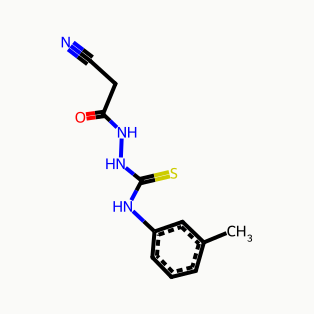 Cc1cccc(NC(=S)NNC(=O)CC#N)c1